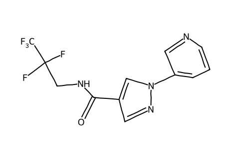 O=C(NCC(F)(F)C(F)(F)F)c1cnn(-c2cccnc2)c1